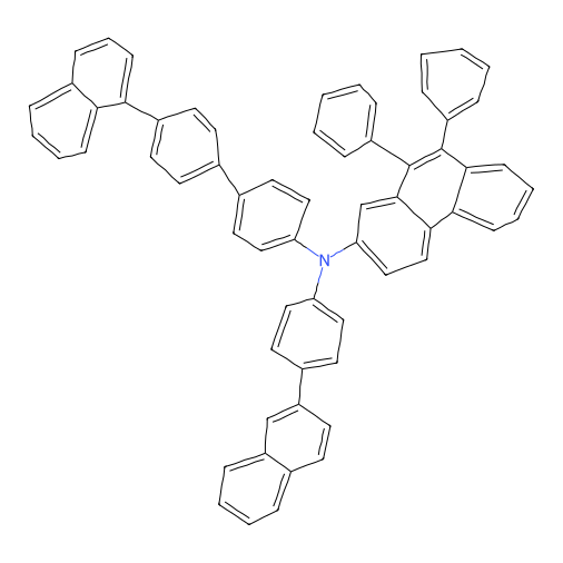 c1ccc(-c2c(-c3ccccc3)c3cc(N(c4ccc(-c5ccc(-c6cccc7ccccc67)cc5)cc4)c4ccc(-c5ccc6ccccc6c5)cc4)ccc3c3ccccc23)cc1